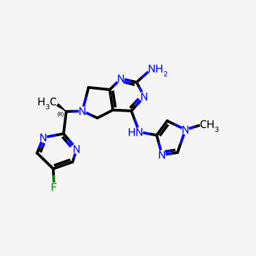 C[C@H](c1ncc(F)cn1)N1Cc2nc(N)nc(Nc3cn(C)cn3)c2C1